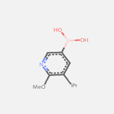 COc1ncc(B(O)O)cc1C(C)C